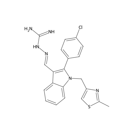 Cc1nc(Cn2c(-c3ccc(Cl)cc3)c(C=NNC(=N)N)c3ccccc32)cs1